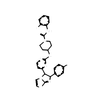 O=C(Nc1ccccc1F)N1CCC(Nc2nccc(C3C(c4ccc(F)cc4)N=C4OC=CN43)n2)CC1